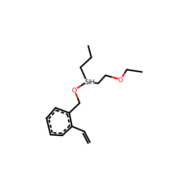 C=Cc1ccccc1CO[SiH](CCC)CCOCC